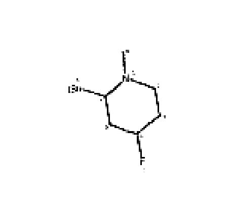 CN1CCC(F)CC1C(C)(C)C